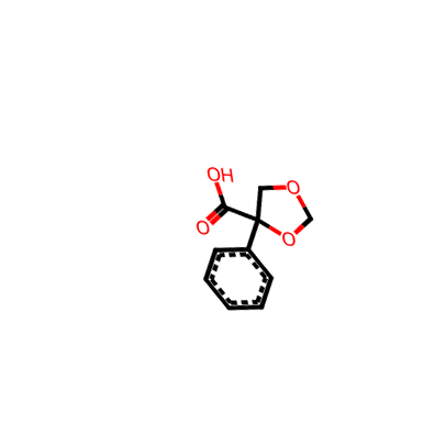 O=C(O)C1(c2ccccc2)COCO1